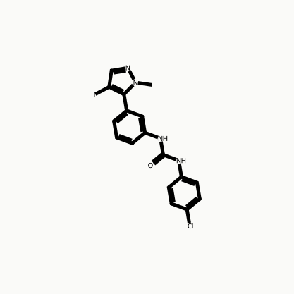 Cn1ncc(I)c1-c1cccc(NC(=O)Nc2ccc(Cl)cc2)c1